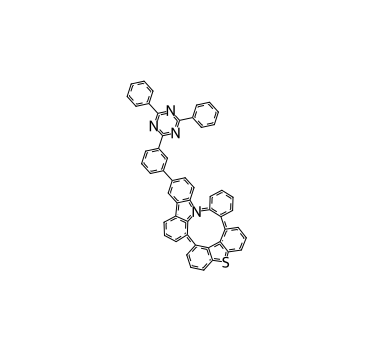 c1ccc(-c2nc(-c3ccccc3)nc(-c3cccc(-c4ccc5c(c4)c4cccc6c7cccc8sc9cccc(c%10ccccc%10n5c64)c9c87)c3)n2)cc1